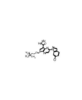 CC(C)(C)NC(=O)c1cn(COCC[Si](C)(C)C)c2ncc(-n3ncc4ccc(Cl)cc43)nc12